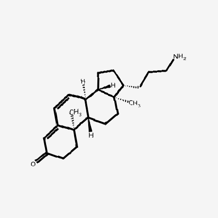 C[C@]12CC[C@H]3[C@@H](C=CC4=CC(=O)CC[C@@]43C)[C@@H]1CC[C@@H]2CCCN